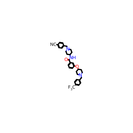 N#Cc1ccc(CN2CCC(NC(=O)c3cccc(OC4CCN(Cc5ccc(C(F)(F)F)cc5)CC4)c3)CC2)cc1